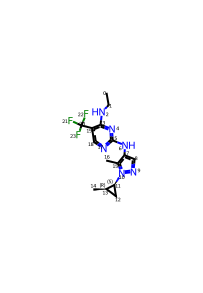 CCNc1nc(Nc2cnn([C@H]3C[C@H]3C)c2C)ncc1C(F)(F)F